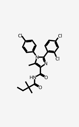 CCC(C)(C)C(=O)NC(=O)c1nc(-c2ccc(Cl)cc2Cl)n(-c2ccc(Cl)cc2)c1C